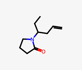 C=CCC(CC)N1CCCC1=O